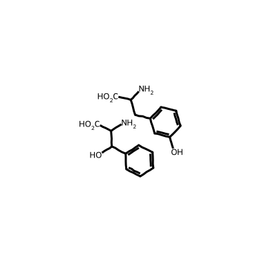 NC(C(=O)O)C(O)c1ccccc1.NC(Cc1cccc(O)c1)C(=O)O